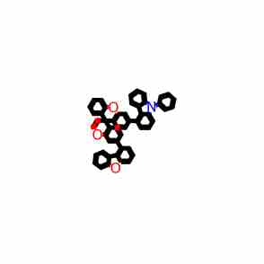 c1ccc(-n2c3ccccc3c3c(-c4ccc5c(c4)Oc4ccccc4C54c5ccccc5Oc5cc(-c6cccc7oc8ccccc8c67)ccc54)cccc32)cc1